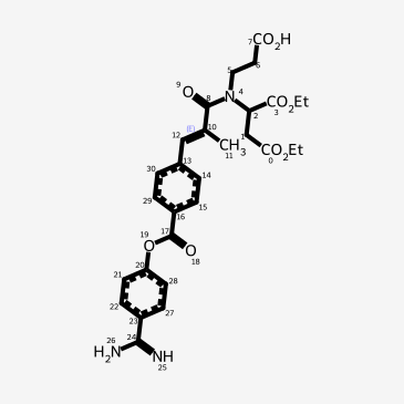 CCOC(=O)CC(C(=O)OCC)N(CCC(=O)O)C(=O)/C(C)=C/c1ccc(C(=O)Oc2ccc(C(=N)N)cc2)cc1